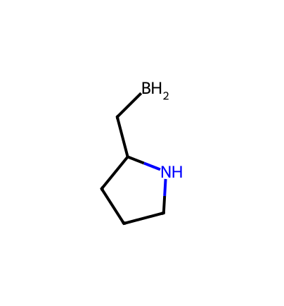 BCC1CCCN1